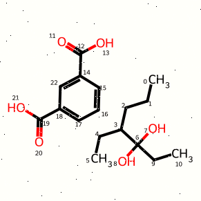 CCCC(CC)C(O)(O)CC.O=C(O)c1cccc(C(=O)O)c1